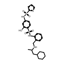 CC(CC1CCCCC1)NCc1ccccc1NS(=O)(=O)c1ccc(NS(=O)(=O)c2cccs2)cc1O